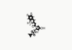 N[C@@H](CC(=O)N1C[C@H](O)C[C@H]1CNS(=O)(=O)C1CC1)Cc1cc(F)c(F)cc1F